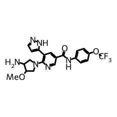 COC1CN(c2ncc(C(=O)Nc3ccc(OC(F)(F)F)cc3)cc2-c2ccn[nH]2)CC1N